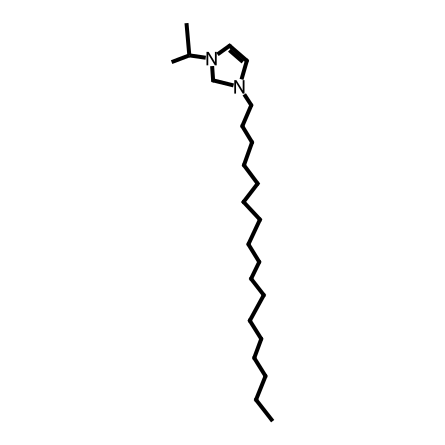 CCCCCCCCCCCCCCCCCN1C=CN(C(C)C)C1